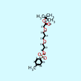 Cc1ccc(S(=O)(=O)OCCCOCCCOCC(=O)OC(C)(C)C)cc1